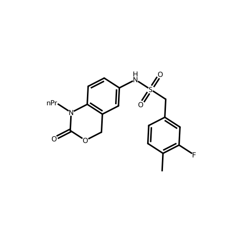 CCCN1C(=O)OCc2cc(NS(=O)(=O)Cc3ccc(C)c(F)c3)ccc21